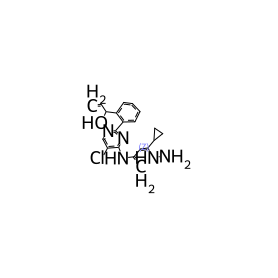 C=CC(O)c1ccccc1-c1ncc(Cl)c(NC(=C)/C=C(\NN)C2CC2)n1